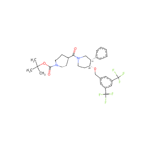 CC(C)(C)OC(=O)N1CCC(C(=O)N2CC[C@@H](OCc3cc(C(F)(F)F)cc(C(F)(F)F)c3)[C@@H](c3ccccc3)C2)CC1